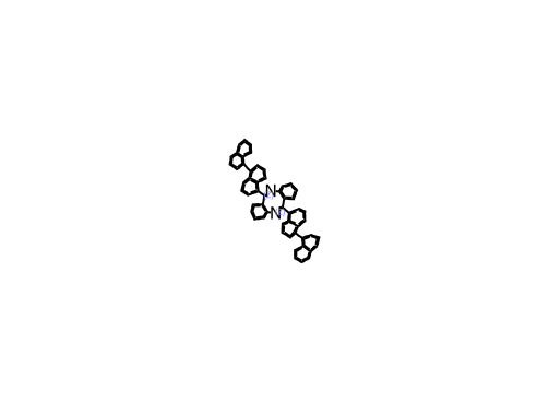 c1ccc2c(c1)/N=C(/c1cccc3c(-c4cccc5ccccc45)cccc13)c1ccccc1/N=C\2c1cccc2c(-c3cccc4ccccc34)cccc12